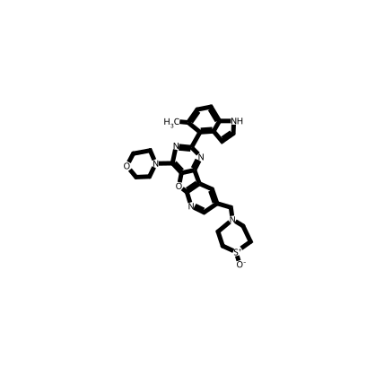 Cc1ccc2[nH]ccc2c1-c1nc(N2CCOCC2)c2oc3ncc(CN4CC[S+]([O-])CC4)cc3c2n1